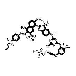 CCCS(=O)(=O)c1ccc(N=Nc2c(S(=O)(=O)O)cc3c(N=Nc4ccc(Nc5nc(Cl)nc(Nc6cc(SC#COOS(=O)(=O)O)ccc6OC)n5)cc4S(=O)(=O)O)c(N)ccc3c2O)cc1